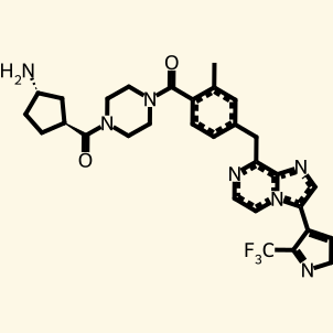 Cc1cc(Cc2nccn3c(C4=CCN=C4C(F)(F)F)cnc23)ccc1C(=O)N1CCN(C(=O)[C@H]2CC[C@H](N)C2)CC1